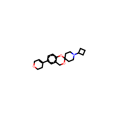 C1=C(c2ccc3c(c2)COC2(CCN(C4CCC4)CC2)O3)CCOC1